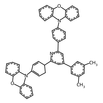 Cc1cc(C)cc(-c2cc(-c3ccc(N4c5ccccc5Oc5ccccc54)cc3)nc(C3C=CC(N4c5ccccc5Oc5ccccc54)=CC3)c2)c1